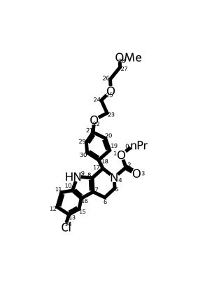 CCCOC(=O)N1CCc2c([nH]c3ccc(Cl)cc23)C1c1ccc(OCCOCCOC)cc1